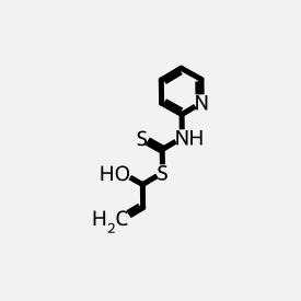 C=CC(O)SC(=S)Nc1ccccn1